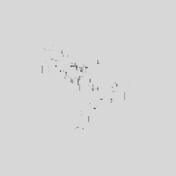 CC(C)C[C@H](N[C@H](CC(C)C)C(=O)OCc1ccccc1)C(=O)N[C@@H](Cc1ccccc1)C(N)=O